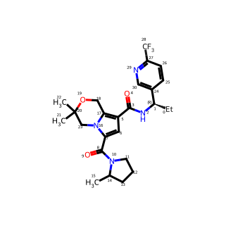 CC[C@@H](NC(=O)c1cc(C(=O)N2CCCC2C)n2c1COC(C)(C)C2)c1ccc(C(F)(F)F)nc1